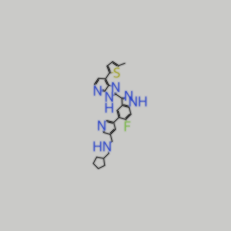 Cc1ccc(-c2ccnc3[nH]c(-c4n[nH]c5cc(F)c(-c6cncc(CNCC7CCCC7)c6)cc45)nc23)s1